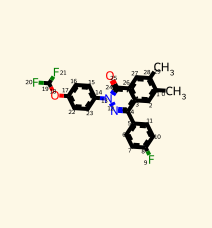 Cc1cc2c(-c3ccc(F)cc3)nn(-c3ccc(OC(F)F)cc3)c(=O)c2cc1C